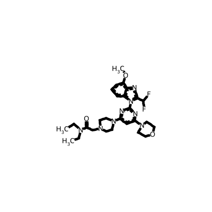 CCN(CC)C(=O)CN1CCN(c2cc(N3CCOCC3)nc(-n3c(C(F)F)nc4c(OC)cccc43)n2)CC1